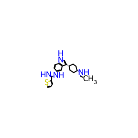 CCN[C@H]1CC[C@H](c2c[nH]c3ccc(NC(=N)c4cccs4)cc32)CC1